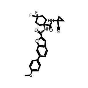 CSc1ccc(-c2ccc3cc(C(=O)NC4(C(=O)NC5(C#N)CC5)CCC(F)(F)CC4)oc3c2)cc1